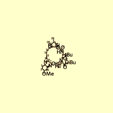 COc1ccc2nc3c(nc2c1)O[C@H]1CN(C(=O)[C@H](C(C)(C)C)NC(=O)O[C@@H]2C[C@H](C)[C@H](C)[C@H]2CCC/C=C/3)[C@H](C(=O)OCC(C)C)[C@@H]1C